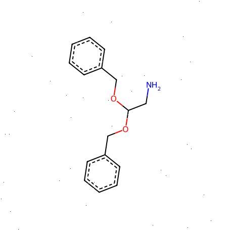 NCC(OCc1ccccc1)OCc1ccccc1